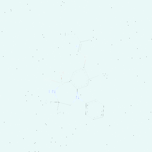 CCCCC1(CCCC)CN(c2ccccc2)c2cc(SC)c(O/C=C(\C)C(=O)O)cc2S(O)(O)N1